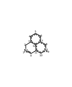 C1=NCc2cccc3cncc1c23